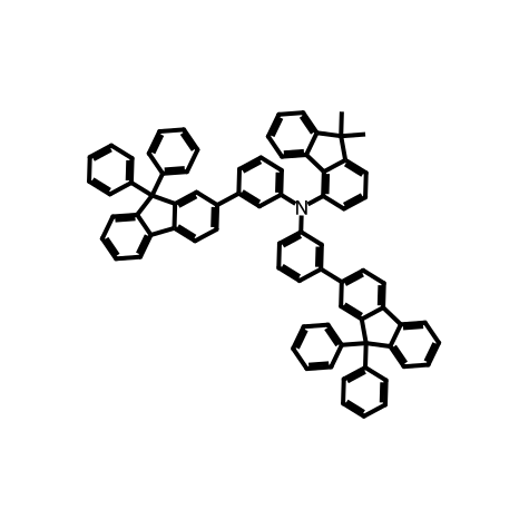 CC1(C)c2ccccc2-c2c(N(c3cccc(-c4ccc5c(c4)C(c4ccccc4)(c4ccccc4)c4ccccc4-5)c3)c3cccc(-c4ccc5c(c4)C(c4ccccc4)(c4ccccc4)c4ccccc4-5)c3)cccc21